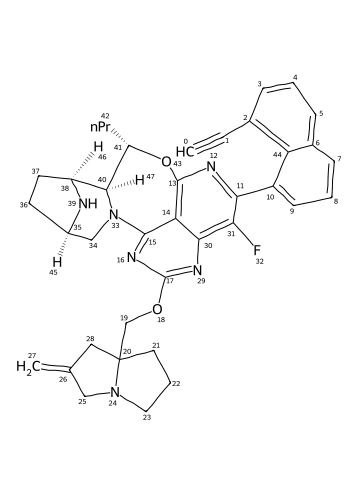 C#Cc1cccc2cccc(-c3nc4c5c(nc(OCC67CCCN6CC(=C)C7)nc5c3F)N3C[C@H]5CC[C@H](N5)[C@H]3[C@H](CCC)O4)c12